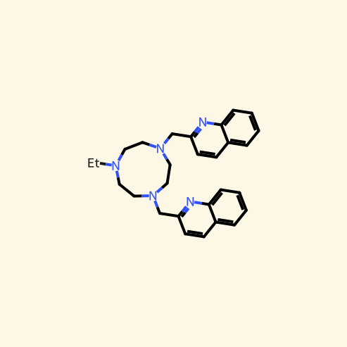 CCN1CCN(Cc2ccc3ccccc3n2)CCN(Cc2ccc3ccccc3n2)CC1